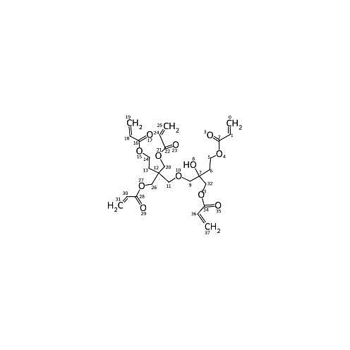 C=CC(=O)OCCC(O)(COCC(CCOC(=O)C=C)(COC(=O)C=C)COC(=O)C=C)COC(=O)C=C